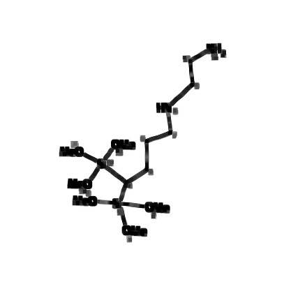 CO[Si](OC)(OC)C(CCCNCCN)[Si](OC)(OC)OC